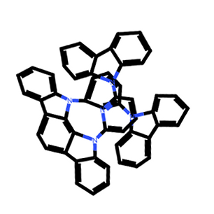 c1cc(-n2c3ccccc3c3ccccc32)cc(-n2c3ccccc3c3ccc4c5ccccc5n(-c5cccc(-n6c7ccccc7c7ccccc76)n5)c4c32)c1